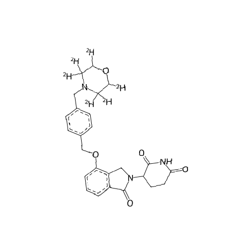 [2H]C1OC([2H])C([2H])([2H])N(Cc2ccc(COc3cccc4c3CN(C3CCC(=O)NC3=O)C4=O)cc2)C1([2H])[2H]